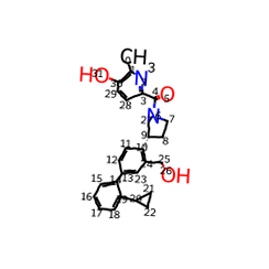 Cc1nc(C(=O)N2CC[C@H](c3ccc(-c4ccccc4C4CC4)cc3CO)C2)ccc1O